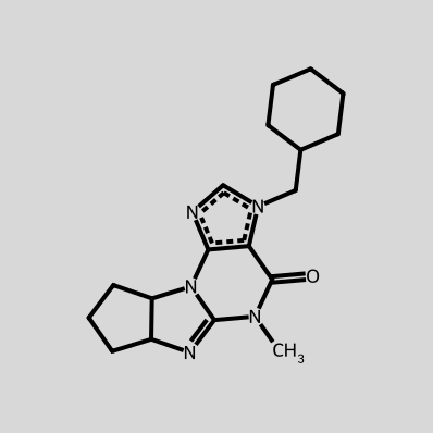 CN1C(=O)c2c(ncn2CC2CCCCC2)N2C1=NC1CCCC12